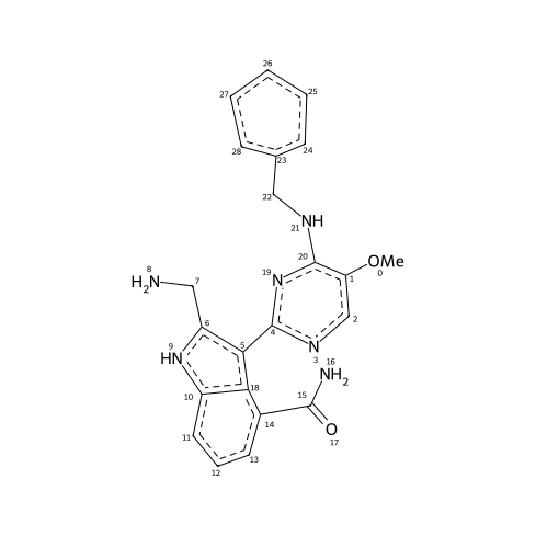 COc1cnc(-c2c(CN)[nH]c3cccc(C(N)=O)c23)nc1NCc1ccccc1